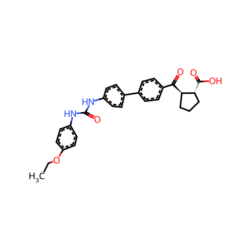 CCOc1ccc(NC(=O)Nc2ccc(-c3ccc(C(=O)[C@@H]4CCC[C@H]4C(=O)O)cc3)cc2)cc1